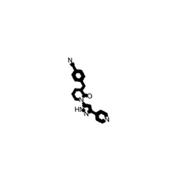 N#Cc1ccc(CC2CCCN(c3cc(-c4ccncc4)n[nH]3)C2=O)cc1